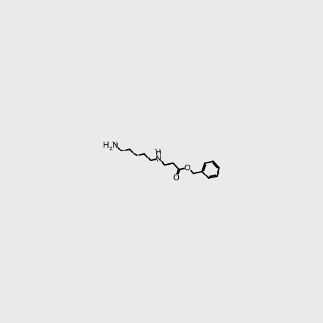 NCCCCCNCCC(=O)OCc1ccccc1